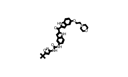 CC(C)(C)c1cc(NC(=O)Nc2ccc3[nH]c(C(=O)c4cc5cc(OCCN6CCOCC6)ccc5[nH]4)cc3c2)no1